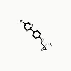 C[C@]1(COc2ccc(-c3ncc(O)cn3)cc2)CO1